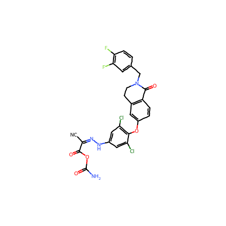 N#CC(=NNc1cc(Cl)c(Oc2ccc3c(c2)CCN(Cc2ccc(F)c(F)c2)C3=O)c(Cl)c1)C(=O)OC(N)=O